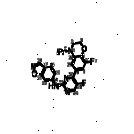 CC(C)N1CCOc2c(F)cc(-c3nc(Nc4ccc5cnoc5c4)ncc3F)cc21